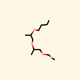 CCCCOC(C)COC(C)COCCC